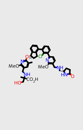 COc1nc(-c2cccc(-c3cccc4c3CC[C@@H]4Oc3nc(OC)c(CNC(C)(CO)C(=O)O)cc3C)c2Cl)ccc1CNC[C@@H]1CCC(=O)N1